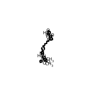 CC(=O)c1c(C)c2cnc(Nc3ccc(N4CCN(CCCCCCOc5cccc6c5C(=O)N(C5CCC(=O)NC5=O)C6=O)CC4)cn3)nc2n(C2CCCC2)c1=O